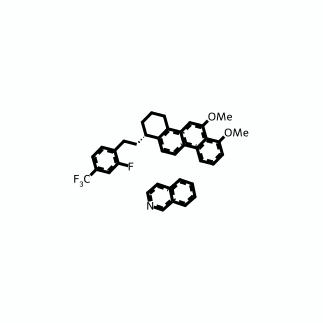 COc1cccc2c1c(OC)cc1c3c(ccc12)[C@H](CCc1ccc(C(F)(F)F)cc1F)CCC3.c1ccc2cnccc2c1